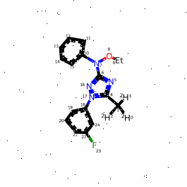 [2H]C([2H])([2H])c1nc(N(OCC)c2ccccc2)nn1-c1cccc(F)c1